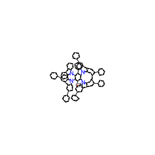 N#Cc1c(-n2c3ccc(-c4ccccc4)cc3c3cc(-c4ccccc4)ccc32)c(-n2c3ccccc3c3ccccc32)c(-c2ccccc2)c2c1n1c3ccc(-c4ccccc4)cc3c3cc(-c4ccccc4)c(cc31)c1cc3c(cc1-c1ccccc1)c1cc(-c4ccccc4)ccc1n32